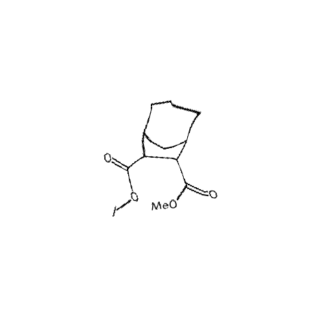 COC(=O)C1C2CCCC(C2)C1C(=O)OI